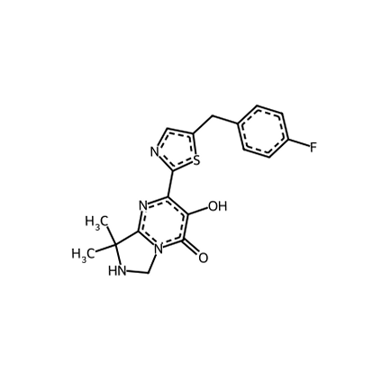 CC1(C)NCn2c1nc(-c1ncc(Cc3ccc(F)cc3)s1)c(O)c2=O